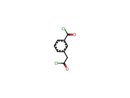 O=C(Cl)Cc1cccc(C(=O)Cl)c1